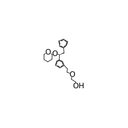 OCCOCCc1cccc([C@H](Cc2ccccc2)OC2CCCCO2)c1